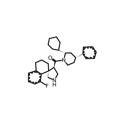 O=C([C@H]1CNC[C@]12CCCc1cccc(F)c12)N1CC[C@@H](c2ccccc2)C[C@H]1C1CCCCC1